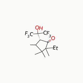 CCC1(C)C(=O)[C@@H](C(O)(C(F)(F)F)C(F)(F)F)C(C)C1(C)C